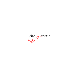 O.[Mn+2].[Na+].[O-2]